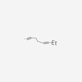 [C]#CCCC#CC[CH2]